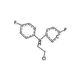 Fc1ccc([SiH](CCCl)c2ccc(F)cc2)cc1